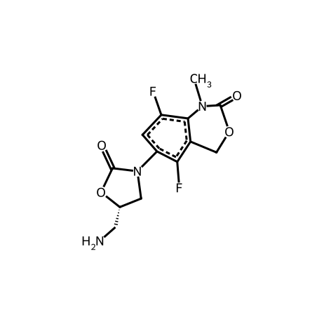 CN1C(=O)OCc2c(F)c(N3C[C@H](CN)OC3=O)cc(F)c21